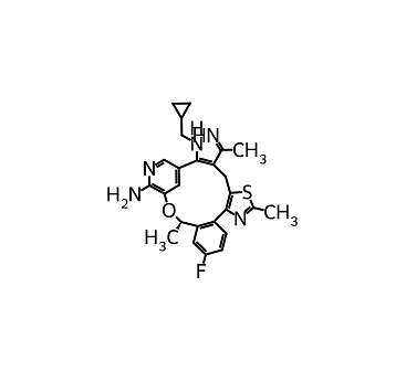 CC(=N)/C1=C(\NCC2CC2)c2cnc(N)c(c2)O[C@H](C)c2cc(F)ccc2-c2nc(C)sc2C1